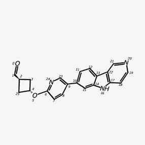 O=C[C@H]1C[C@H](Oc2ccc(-c3ccc4c(c3)[nH]c3ccncc34)cn2)C1